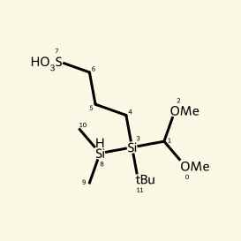 COC(OC)[Si](CCCS(=O)(=O)O)([SiH](C)C)C(C)(C)C